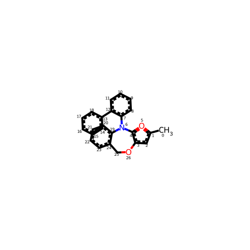 Cc1cc2c(o1)N(c1ccccc1-c1ccccc1)c1ccccc1CO2